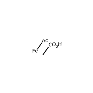 CC(=O)O.C[C](=O)[Fe]